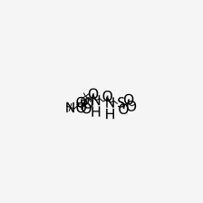 COC(=O)C(=O)SCCNC(=O)CCNC(=O)[C@@H]1OP(=O)(OCC[N+](C)(C)C)OCC1(C)C